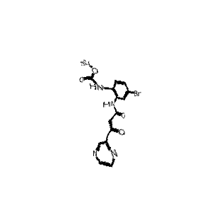 CC(C)(C)OC(=O)Nc1ccc(Br)cc1NC(=O)CC(=O)c1cnccn1